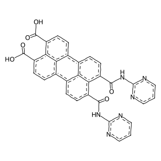 O=C(O)c1ccc2c3ccc(C(=O)Nc4ncccn4)c4c(C(=O)Nc5ncccn5)ccc(c5ccc(C(=O)O)c1c25)c43